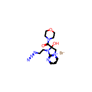 [Br-].[N-]=[N+]=NCCN1c2nccc[n+]2CC1(O)C(=O)N1CCOCC1